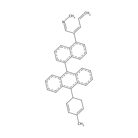 C=C/C=C(\C=N/C)c1cccc2c(-c3c4ccccc4c(C4C=CC(C)=CC4)c4ccccc34)cccc12